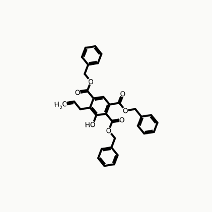 C=CCc1c(C(=O)OCc2ccccc2)cc(C(=O)OCc2ccccc2)c(C(=O)OCc2ccccc2)c1O